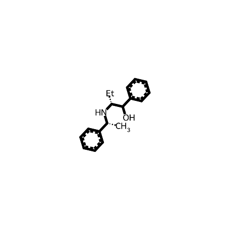 CC[C@@H](N[C@H](C)c1ccccc1)C(O)c1ccccc1